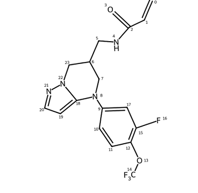 C=CC(=O)NCC1CN(c2ccc(OC(F)(F)F)c(F)c2)c2ccnn2C1